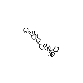 c1ccc(NCc2ccc(OCC3CCC4CN(c5noc6ccccc56)CCN4C3)nc2)nc1